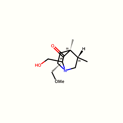 COC[C@]1(CO)C(=O)[C@@]2(C)CCN1C[C@H]2C